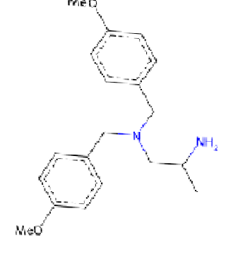 COc1ccc(CN(Cc2ccc(OC)cc2)CC(C)N)cc1